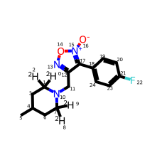 [2H]C1([2H])CC(C)CC([2H])([2H])N1Cc1no[n+]([O-])c1-c1ccc(F)cc1